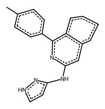 Cc1ccc(-c2nc(Nc3cc[nH]n3)cc3ccccc23)cc1